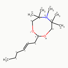 CCC/C=C/CB1OCC(C)(C)N(C)C(C)(C)CO1